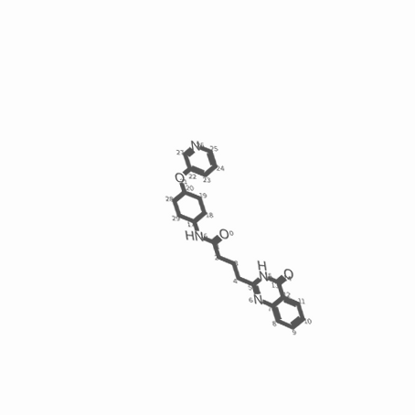 O=C(CCCc1nc2ccccc2c(=O)[nH]1)NC1CCC(Oc2cccnc2)CC1